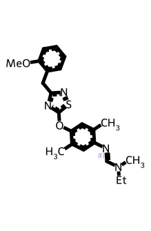 CCN(C)/C=N/c1cc(C)c(Oc2nc(Cc3ccccc3OC)ns2)cc1C